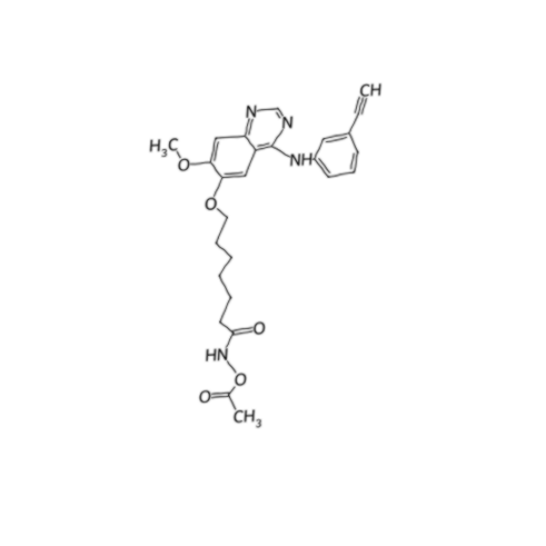 C#Cc1cccc(Nc2ncnc3cc(OC)c(OCCCCCCC(=O)NOC(C)=O)cc23)c1